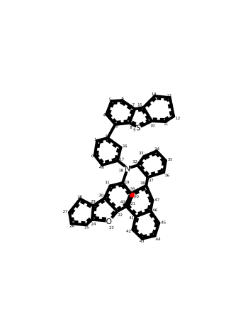 c1cc(-c2cccc3c2sc2ccccc23)cc(N(c2ccc3oc4ccccc4c3c2)c2ccccc2-c2ccc3ccccc3c2)c1